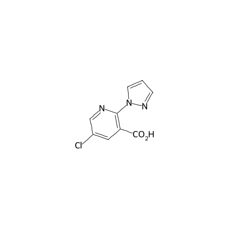 O=C(O)c1cc(Cl)cnc1-n1cccn1